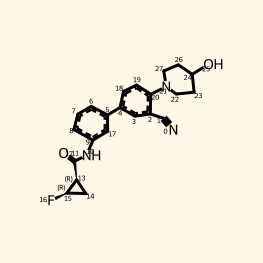 N#Cc1cc(-c2cccc(NC(=O)[C@H]3C[C@H]3F)c2)ccc1N1CCC(O)CC1